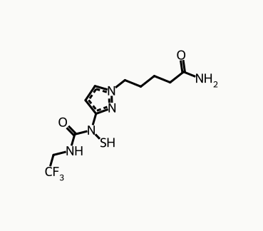 NC(=O)CCCCn1ccc(N(S)C(=O)NCC(F)(F)F)n1